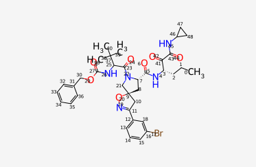 CCC[C@H](NC(=O)[C@@H]1C[C@]2(CC(c3cccc(Br)c3)=NO2)CN1C(=O)C(NC(=O)OCc1ccccc1)C(C)(C)C)C(=O)C(=O)NC1CC1